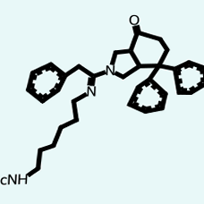 CC(=O)NCCCCCCN=C(Cc1ccccc1)N1CC2C(=O)CCC(c3ccccc3)(c3ccccc3)C2C1